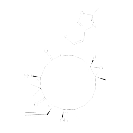 C#CC[C@H]1C(=O)C(C)(C)[C@@H](O)CC(=O)O[C@H](C(F)=Cc2coc(C)n2)C[C@@H]2O[C@]2(C)CCC[C@H](C)[C@H]1O